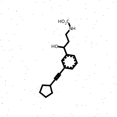 O=C(O)NCCC(O)c1cccc(C#CC2CCCC2)c1